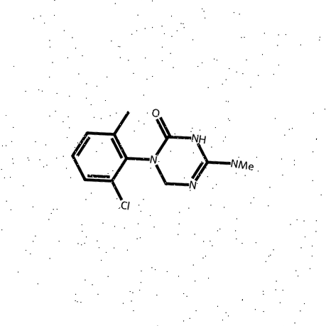 CNC1=NCN(c2c(C)cccc2Cl)C(=O)N1